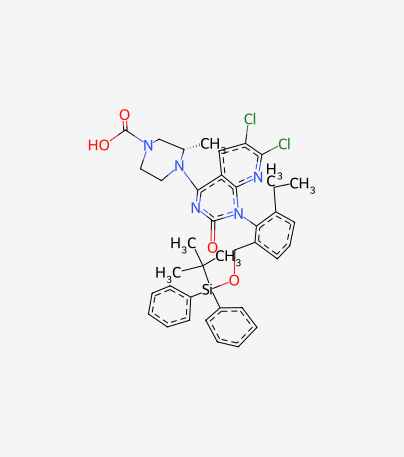 CC(C)c1cccc(CO[Si](c2ccccc2)(c2ccccc2)C(C)(C)C)c1-n1c(=O)nc(N2CCN(C(=O)O)C[C@@H]2C)c2cc(Cl)c(Cl)nc21